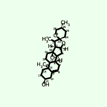 CC1[C@H]2[C@H](CC3[C@@H]4CC=C5C[C@@H](O)CC[C@]5(C)C4CC[C@@]32C)O[C@]12CC[C@@H](C)CO2